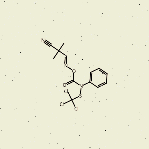 CC(C)(C#N)C=NOC(=O)N(SC(Cl)(Cl)Cl)c1ccccc1